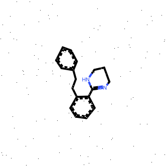 c1ccc(CCc2ccccc2C2=NCCCN2)cc1